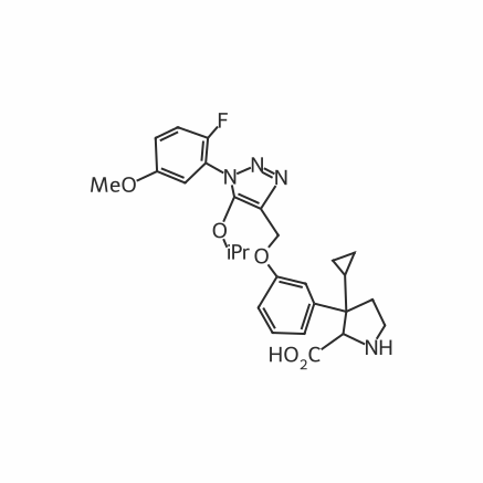 COc1ccc(F)c(-n2nnc(COc3cccc(C4(C5CC5)CCNC4C(=O)O)c3)c2OC(C)C)c1